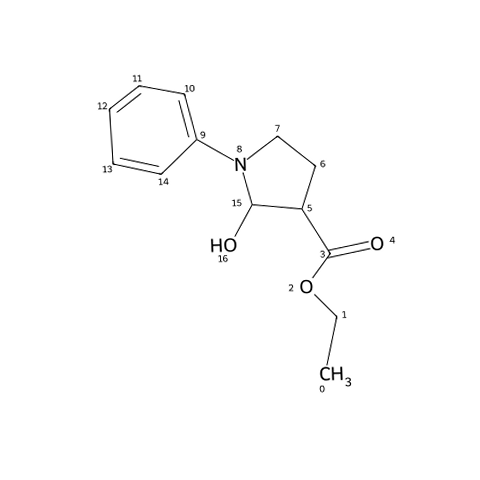 CCOC(=O)C1CCN(c2ccccc2)C1O